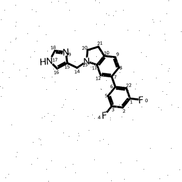 Fc1cc(F)cc(-c2ccc3c(c2)N(Cc2c[nH]cn2)CC3)c1